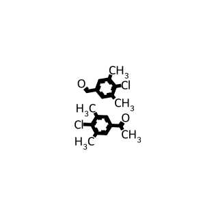 CC(=O)c1cc(C)c(Cl)c(C)c1.Cc1cc(C=O)cc(C)c1Cl